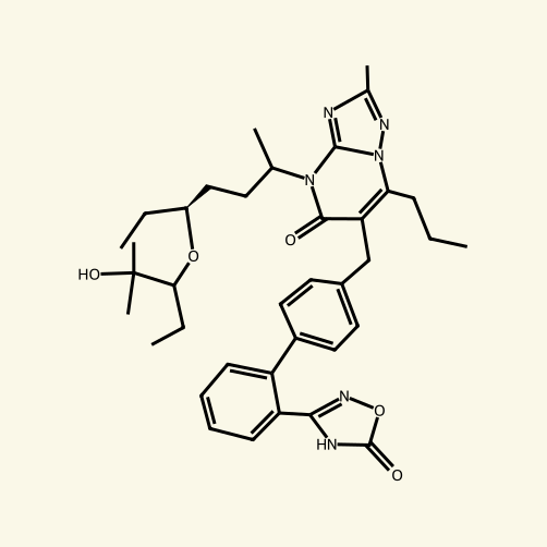 CCCc1c(Cc2ccc(-c3ccccc3-c3noc(=O)[nH]3)cc2)c(=O)n(C(C)CC[C@H](CC)OC(CC)C(C)(C)O)c2nc(C)nn12